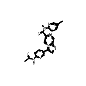 CC(=O)Nc1ccc(-c2cnc3cnc(C(=O)N(C)c4ccc(C)cn4)cn23)cn1